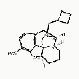 COc1ccc2c3c1O[C@@H]1CCC[C@@H]4[C@H](C2)N(CC2CCC2)CCC341